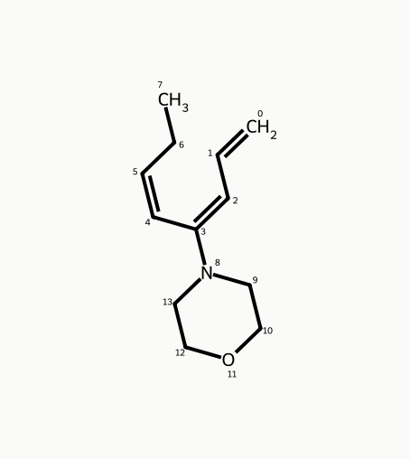 C=C/C=C(\C=C/CC)N1CCOCC1